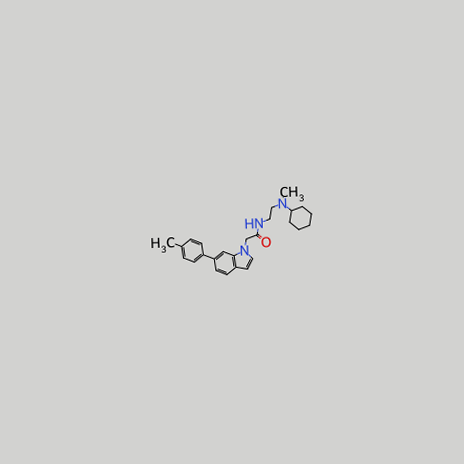 Cc1ccc(-c2ccc3ccn(CC(=O)NCCN(C)C4CCCCC4)c3c2)cc1